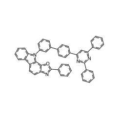 c1ccc(-c2cc(-c3ccc(-c4cccc(-n5c6ccccc6c6ccc7nc(-c8ccccc8)oc7c65)c4)cc3)nc(-c3ccccc3)n2)cc1